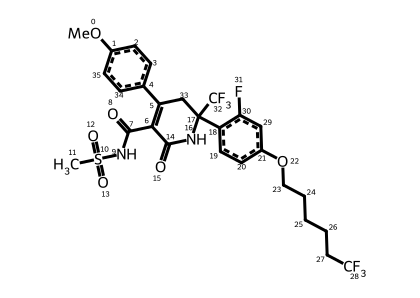 COc1ccc(C2=C(C(=O)NS(C)(=O)=O)C(=O)NC(c3ccc(OCCCCCC(F)(F)F)cc3F)(C(F)(F)F)C2)cc1